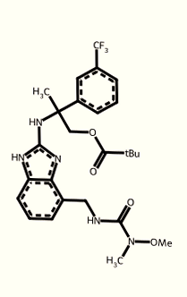 CON(C)C(=O)NCc1cccc2[nH]c(NC(C)(COC(=O)C(C)(C)C)c3cccc(C(F)(F)F)c3)nc12